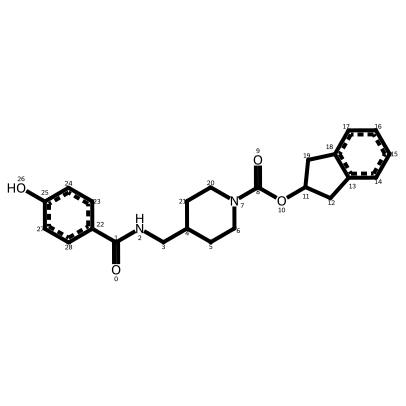 O=C(NCC1CCN(C(=O)OC2Cc3ccccc3C2)CC1)c1ccc(O)cc1